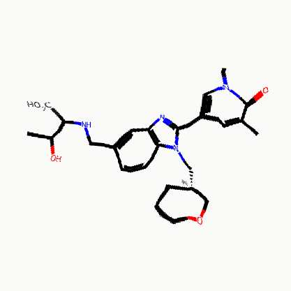 Cc1cc(-c2nc3cc(CNC(C(=O)O)C(C)O)ccc3n2C[C@H]2CCCOC2)cn(C)c1=O